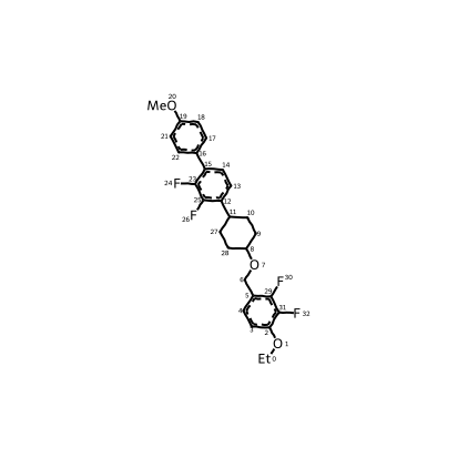 CCOc1ccc(COC2CCC(c3ccc(-c4ccc(OC)cc4)c(F)c3F)CC2)c(F)c1F